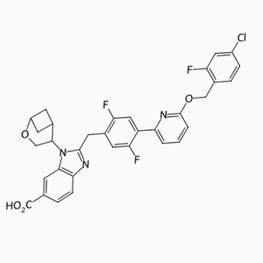 O=C(O)c1ccc2nc(Cc3cc(F)c(-c4cccc(OCc5ccc(Cl)cc5F)n4)cc3F)n(C3COC4CC3C4)c2c1